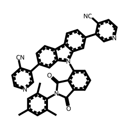 Cc1cc(C)c(N2C(=O)c3cccc(-n4c5cc(-c6cnccc6C#N)ccc5c5ccc(-c6cnccc6C#N)cc54)c3C2=O)c(C)c1